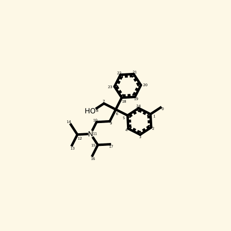 Cc1cccc(C(CO)(CCN(C(C)C)C(C)C)c2ccccc2)c1